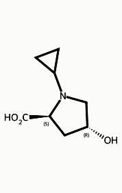 O=C(O)[C@@H]1C[C@@H](O)CN1C1CC1